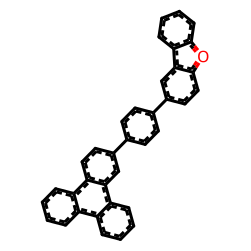 c1ccc2c(c1)oc1ccc(-c3ccc(-c4ccc5c6ccccc6c6ccccc6c5c4)cc3)cc12